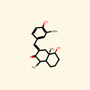 COc1cc(C=C2C[C@@]3(C)C(CCC[C@@H]3O)C(C)C2=O)ccc1O